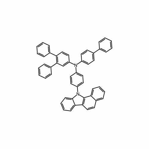 c1ccc(-c2ccc(N(c3ccc(-n4c5ccccc5c5ccc6ccccc6c54)cc3)c3ccc(-c4ccccc4)c(-c4ccccc4)c3)cc2)cc1